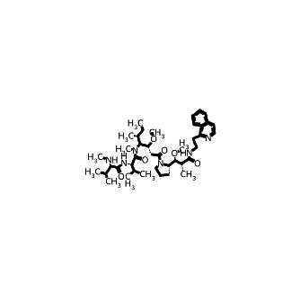 CC[C@H](C)C([C@@H](CC(=O)N1CCC[C@H]1[C@H](OC)[C@@H](C)C(=O)NCCc1nccc2ccccc12)OC)N(C)C(=O)[C@@H](NC(=O)[C@@H](NC)C(C)C)C(C)C